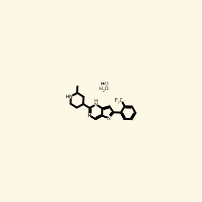 CC1CC(c2ncc3nc(-c4ccccc4C(F)(F)F)cc-3[nH]2)CCN1.Cl.O